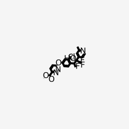 COC(=O)c1ccc(Oc2ccc(C(C)C(O)(c3ccnc(C)c3)C(F)(F)F)c(Cl)c2)nn1